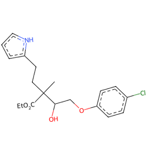 CCOC(=O)C(C)(CCc1ccc[nH]1)C(O)COc1ccc(Cl)cc1